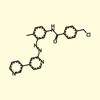 Cc1ccc(NC(=O)c2ccc(CCl)cc2)cc1N=Nc1cc(-c2cccnc2)ccn1